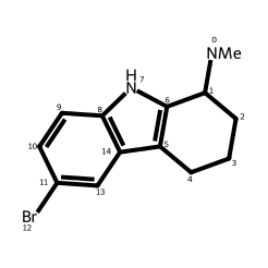 CNC1CCCc2c1[nH]c1ccc(Br)cc21